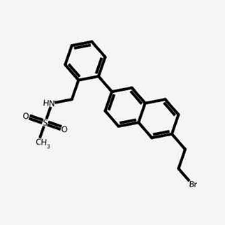 CS(=O)(=O)NCc1ccccc1-c1ccc2cc(CCBr)ccc2c1